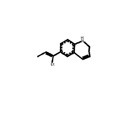 C/C=C(\CC)c1ccc2c(c1)C=CCN2